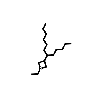 CCCCCCC(CCCCC)C1CN(CC)C1